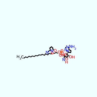 CCCCCCCCCCCCCCCCCCOCC(COP(=O)(O)OC[C@@]1(C#N)O[C@@H](c2ccc3c(N)ncnn23)[C@H](O)[C@@H]1O)Oc1cccc(C#N)n1